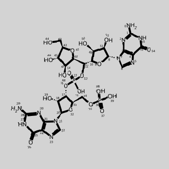 Nc1nc2c(ncn2[C@@H]2O[C@H](C(OP(=O)(O)O[C@H]3[C@@H](O)[C@H](n4cnc5c(=O)[nH]c(N)nc54)O[C@@H]3COP(=O)(O)O)[C@@H]3O[C@H](CO)[C@@H](O)[C@@H]3O)[C@@H](O)[C@H]2O)c(=O)[nH]1